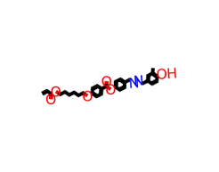 C=CC(=O)OCCCCCCOc1ccc(C(=O)Oc2ccc(/C=N/N=C/c3ccc(O)c(C)c3)cc2)cc1